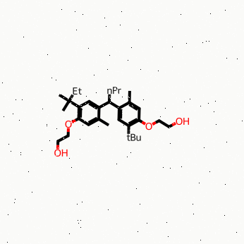 CCCC(c1cc(C(C)(C)C)c(OCCO)cc1C)c1cc(C(C)(C)CC)c(OCCO)cc1C